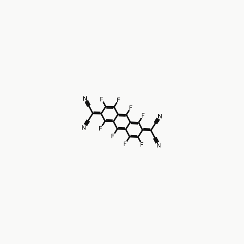 N#CC(C#N)=c1c(F)c(F)c2c(F)c3c(F)c(=C(C#N)C#N)c(F)c(F)c3c(F)c2c1F